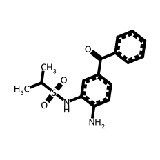 CC(C)S(=O)(=O)Nc1cc(C(=O)c2ccccc2)ccc1N